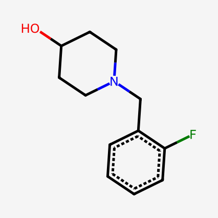 OC1CCN(Cc2ccccc2F)CC1